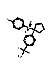 O=S(=O)(c1ccc(F)cc1)C1(c2ccc(C(F)(F)C(F)(F)F)cc2)CCCC1